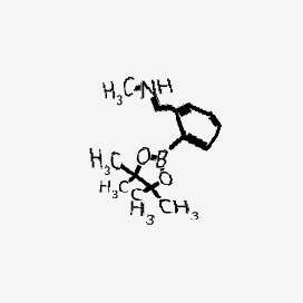 CNCc1ccccc1B1OC(C)(C)C(C)(C)O1